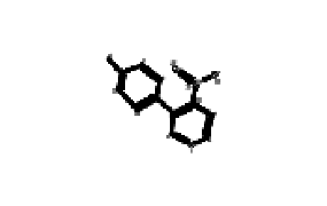 Cc1ccc(-c2cnccc2[N+](=O)[O-])cc1